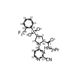 CCCNC(=O)[C@@H]1C[C@H](S(=O)(=O)c2ccccc2C(F)(F)F)CN1c1ccnc(C#N)n1